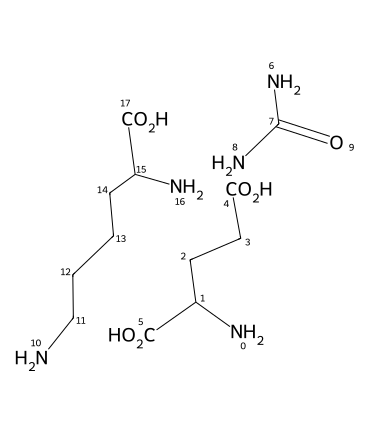 NC(CCC(=O)O)C(=O)O.NC(N)=O.NCCCCC(N)C(=O)O